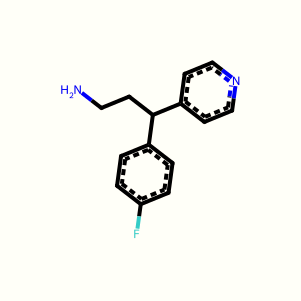 NCCC(c1ccncc1)c1ccc(F)cc1